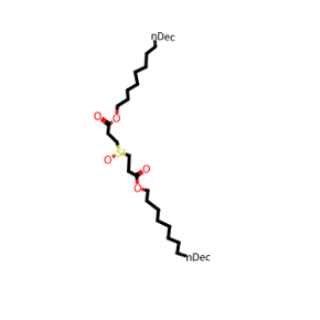 CCCCCCCCCCCCCCCCCCOC(=O)CC[S+]([O-])CCC(=O)OCCCCCCCCCCCCCCCCCC